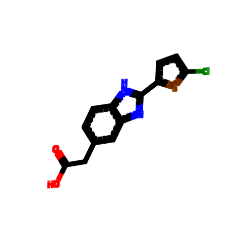 O=C(O)Cc1ccc2[nH]c(-c3ccc(Cl)s3)nc2c1